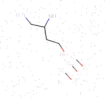 CC(=O)[O-].CC(=O)[O-].CC(=O)[O-].NCC(N)CCO.[Fe+3]